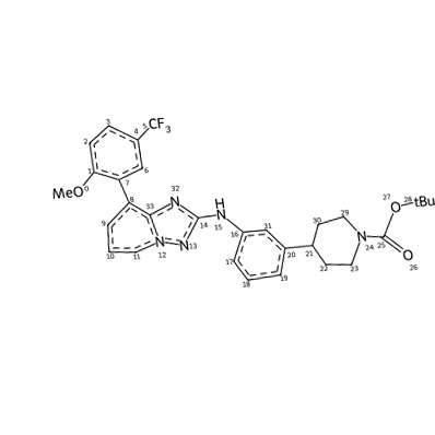 COc1ccc(C(F)(F)F)cc1-c1cccn2nc(Nc3cccc(C4CCN(C(=O)OC(C)(C)C)CC4)c3)nc12